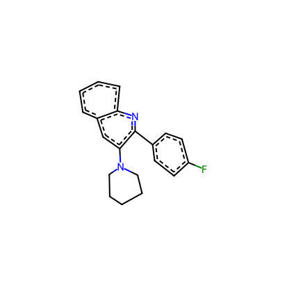 Fc1ccc(-c2nc3ccccc3cc2N2CCCCC2)cc1